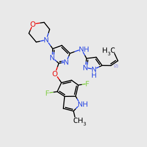 C/C=C\c1cc(Nc2cc(N3CCOCC3)nc(Oc3cc(F)c4[nH]c(C)cc4c3F)n2)n[nH]1